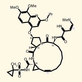 CN/C=C\C(=N)C(=O)N[C@H]1CCCCC/C=C\C2C[C@@]2(C(=O)NS(=O)(=O)C2(C)CC2)NC(=O)[C@@H]2C[C@@H](Oc3cc(OC(C)C)nc4c(OC)c(OC)ccc34)CN2C1=O